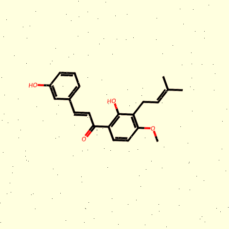 COc1ccc(C(=O)C=Cc2cccc(O)c2)c(O)c1CC=C(C)C